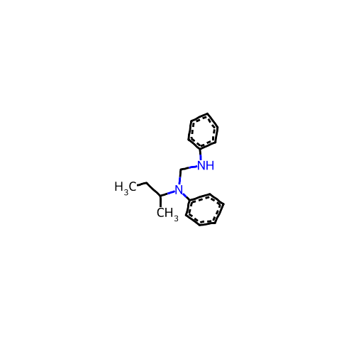 CCC(C)N(CNc1ccccc1)c1ccccc1